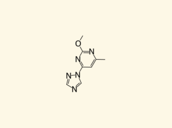 COc1nc(C)cc(-n2cncn2)n1